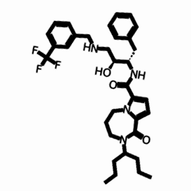 CCCC(CCC)N1CCCn2c(C(=O)N[C@@H](Cc3ccccc3)[C@@H](O)CNCc3cccc(C(F)(F)F)c3)ccc2C1=O